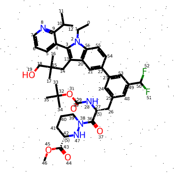 CCn1c(-c2cccnc2C(C)C)c(CC(C)(C)CO)c2cc(-c3cc(C[C@H](NC(=O)OC(C)(C)C)C(=O)N4CCC[C@@H](C(=O)OC)N4)cc(C(F)F)c3)ccc21